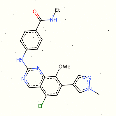 CCNC(=O)c1ccc(Nc2ncc3c(Cl)cc(-c4cnn(C)c4)c(OC)c3n2)cc1